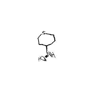 ONC1CCSCC1